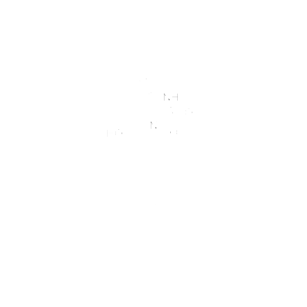 Cc1cc[c]c(Cc2ccc(N3CC(=O)NS3(=O)=O)c(O)c2)c1